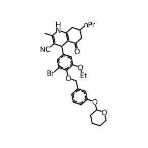 CCCC1CC(=O)C2=C(C1)NC(C)=C(C#N)C2c1cc(Br)c(OCc2cccc(OC3CCCCO3)c2)c(OCC)c1